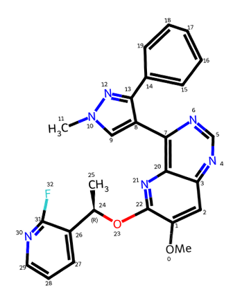 COc1cc2ncnc(-c3cn(C)nc3-c3ccccc3)c2nc1O[C@H](C)c1cccnc1F